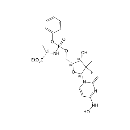 C=C1N=C(NO)C=CN1[C@@H]1O[C@H](COP(=O)(N[C@@H](C)C(=O)OCC)Oc2ccccc2)[C@H](O)C1(C)F